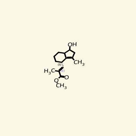 COC(=O)/C(C)=C/[C@@H]1CCCC2C1=C(C)CC2O